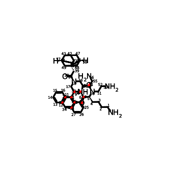 NCCCC[C@@H](C(=O)N[C@@H](Cc1ccccc1)CN(CC(=O)N(Cc1ccccc1)Cc1ccccc1)C(=O)C[C@]12CC3C[C@H](C[C@H](C3)C1)C2)N(CCN)CCN